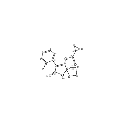 Cc1ccccc1C1=C(OC(=O)C2CC2)C2(CCCC2)OC1=O